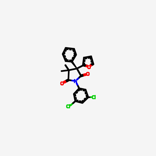 CC1(C)C(=O)N(c2cc(Cl)cc(Cl)c2)C(=O)[C@@]1(c1ccccc1)c1ccco1